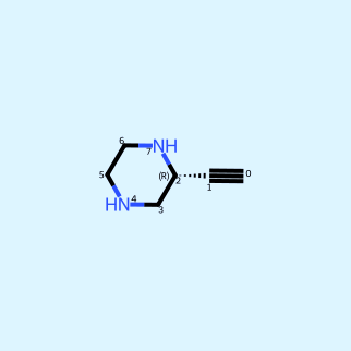 C#C[C@@H]1CNCCN1